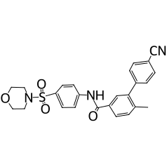 Cc1ccc(C(=O)Nc2ccc(S(=O)(=O)N3CCOCC3)cc2)cc1-c1ccc(C#N)cc1